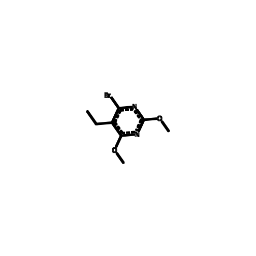 CCc1c(Br)nc(OC)nc1OC